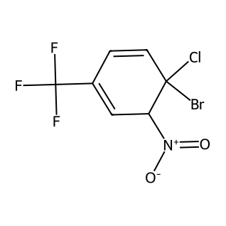 O=[N+]([O-])C1C=C(C(F)(F)F)C=CC1(Cl)Br